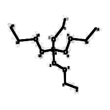 CCOO[Si](OCC)(OOCC)OOCC